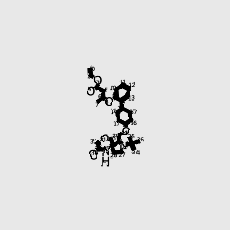 CCOC(=O)CC(C)Oc1ccccc1C1CCC(OCC2N(C(C)(C)C)CCC23COCC(=O)N3)CC1